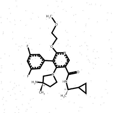 COCCOc1ncc(C(=O)N[C@@H](C)C2CC2)c(N2CC[C@](C)(N)C2)c1-c1cc(F)cc(F)c1